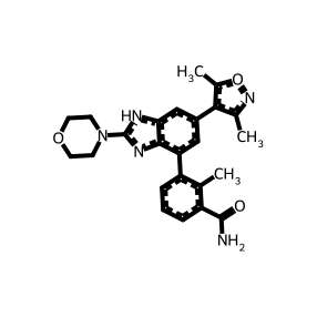 Cc1noc(C)c1-c1cc(-c2cccc(C(N)=O)c2C)c2nc(N3CCOCC3)[nH]c2c1